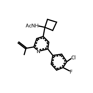 C=C(C)c1cc(C2(NC(C)=O)CCC2)cc(-c2ccc(F)c(Cl)c2)n1